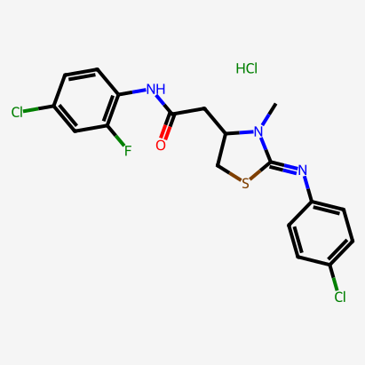 CN1/C(=N/c2ccc(Cl)cc2)SCC1CC(=O)Nc1ccc(Cl)cc1F.Cl